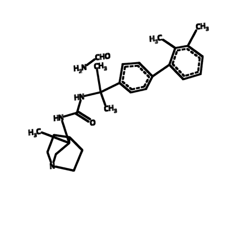 Cc1cccc(-c2ccc(C(C)(C)NC(=O)NC3(C)CN4CCC3CC4)cc2)c1C.NC=O